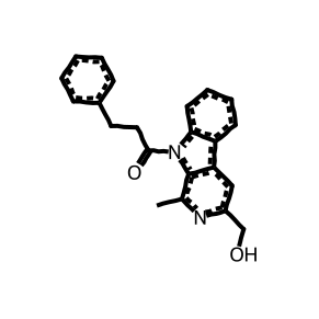 Cc1nc(CO)cc2c3ccccc3n(C(=O)CCc3ccccc3)c12